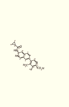 Cc1c(-c2ccc3c(c2)=CNC(NC(=O)C2CC2)C=3)cnc(C(=O)O)c1F